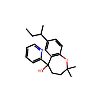 CCC(C)c1ccc2c(c1)C(O)(c1ccccn1)CCC(C)(C)O2